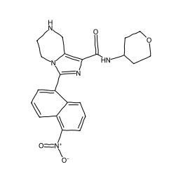 O=C(NC1CCOCC1)c1nc(-c2cccc3c([N+](=O)[O-])cccc23)n2c1CNCC2